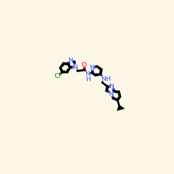 O=C(Cn1cnc2ccc(Cl)cc21)Nc1cc(NCc2cn3cc(C4CC4)ccc3n2)ccn1